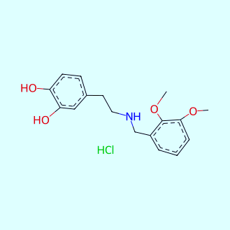 COc1cccc(CNCCc2ccc(O)c(O)c2)c1OC.Cl